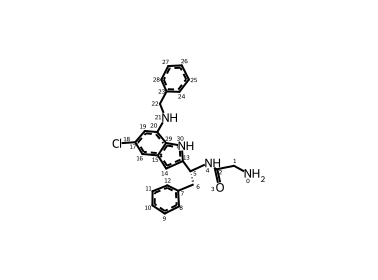 NCC(=O)N[C@H](Cc1ccccc1)c1cc2cc(Cl)cc(NCc3ccccc3)c2[nH]1